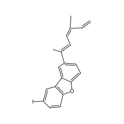 C=C/C(C)=C\C=C(/C)c1ccc2oc3ccc(I)cc3c2c1